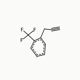 C#CCc1cc[c]cc1C(F)(F)F